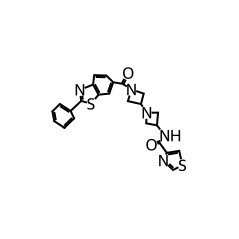 O=C(NC1CN(C2CN(C(=O)c3ccc4nc(-c5ccccc5)sc4c3)C2)C1)c1cscn1